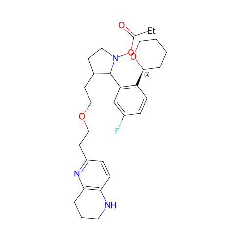 CCC(=O)ON1CCC(CCOCCc2ccc3c(n2)CCCN3)C1c1cc(F)ccc1[C@@H]1CCCCO1